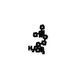 CC1(C)c2ccccc2-c2c(-c3cccc(-c4cccc(-c5nc(-c6ccccc6)cc(-c6ccccc6)n5)c4)c3)cccc21